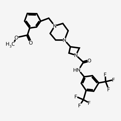 COC(=O)c1cccc(CN2CCN(C3CN(C(=O)Nc4cc(C(F)(F)F)cc(C(F)(F)F)c4)C3)CC2)c1